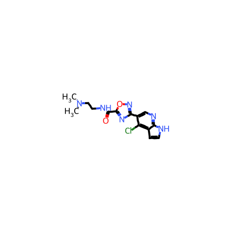 CN(C)CCNC(=O)c1nc(-c2cnc3[nH]ccc3c2Cl)no1